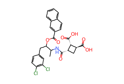 CC(NC(=O)[C@H]1C[C@H](C(=O)O)[C@H]1C(=O)O)C(Cc1ccc(Cl)c(Cl)c1)OC(=O)c1ccc2ccccc2c1